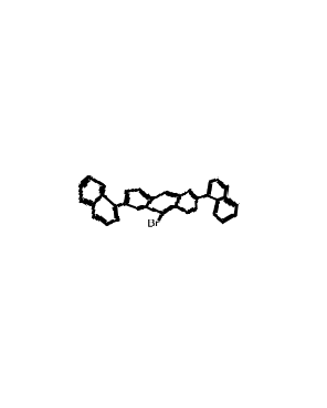 Brc1c2ccc(-c3cccc4ccccc34)cc2cc2ccc(-c3cccc4ccccc34)cc12